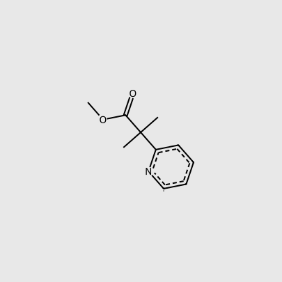 COC(=O)C(C)(C)c1ccc[c]n1